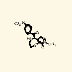 Cn1ncc2c(c1=O)SCCNC2C(=O)c1ccc([N+](=O)[O-])cc1